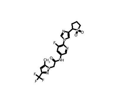 Cc1cc(C(F)(F)F)nn1CC(=O)Nc1cnc(-n2cnc(C3CCCS3(=O)=O)c2)c(F)c1